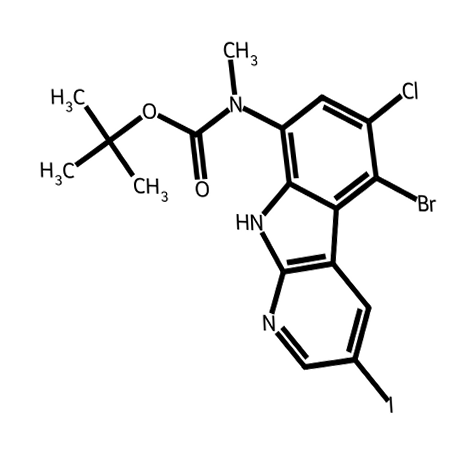 CN(C(=O)OC(C)(C)C)c1cc(Cl)c(Br)c2c1[nH]c1ncc(I)cc12